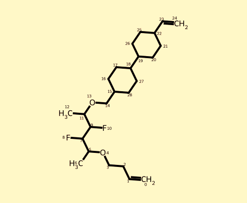 C=CCCOC(C)C(F)C(F)C(C)OCC1CCC(C2CCC(C=C)CC2)CC1